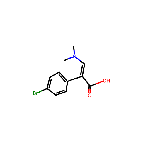 CN(C)/C=C(/C(=O)O)c1ccc(Br)cc1